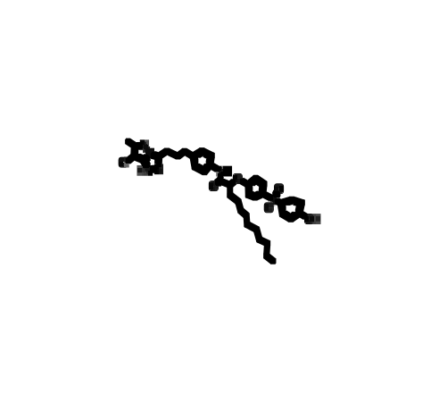 CCCCCCCCCCC(Oc1ccc(S(=O)(=O)c2ccc(O)cc2)cc1)C(=O)Nc1ccc(CCCc2n[nH]c3c(Cl)c(C)nn23)cc1